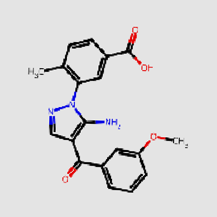 COc1cccc(C(=O)c2cnn(-c3cc(C(=O)O)ccc3C)c2N)c1